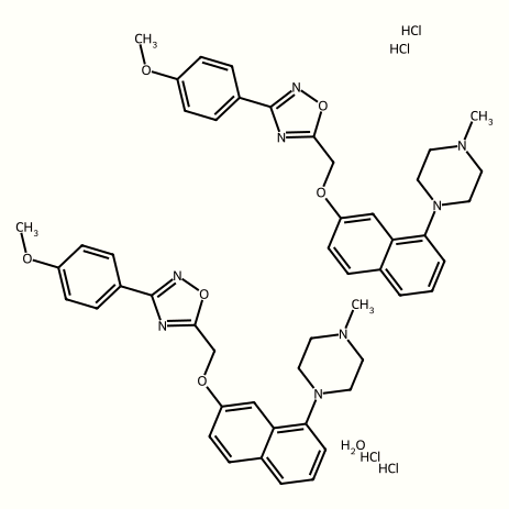 COc1ccc(-c2noc(COc3ccc4cccc(N5CCN(C)CC5)c4c3)n2)cc1.COc1ccc(-c2noc(COc3ccc4cccc(N5CCN(C)CC5)c4c3)n2)cc1.Cl.Cl.Cl.Cl.O